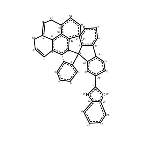 C1=Cc2cc(C3(c4ccccc4)c4ccccc4-c4ccc(-c5nc6ccccc6o5)cc43)c3cccc4c3c2C(=CC4)C1